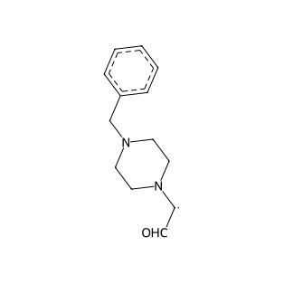 O=C[CH]N1CCN(Cc2ccccc2)CC1